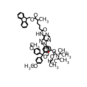 CCCOP(OC1C[C@H](n2cnc3c(NC(=O)CCCC(C)C(=O)OCC4c5ccccc5-c5ccccc54)ncnc32)O[C@@H]1COC(c1ccccc1)(c1ccc(OC)cc1)c1ccc(OC)cc1)N(C(C)C)C(C)C